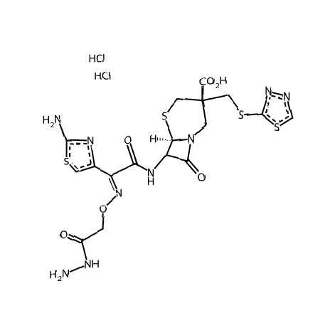 Cl.Cl.NNC(=O)CON=C(C(=O)NC1C(=O)N2CC(CSc3nncs3)(C(=O)O)CS[C@H]12)c1csc(N)n1